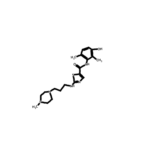 Cc1ccc(O)c(C)c1NC(=O)c1cnc(NCCCN2CCN(C)CC2)s1